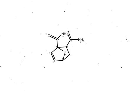 NC(=O)C1CC2C=CC1(C(N)=O)O2